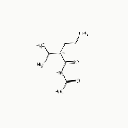 CCC[C@H](C(=O)NC(C)=O)C(C)C